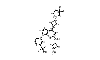 CC(C)(O)c1cccc(-n2ncc3c(N4CC(N5CCC(F)(F)C5)C4)nc(N[C@H]4C[C@@H](O)C4)nc32)c1